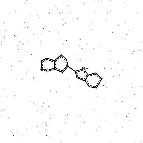 [c]1c(-c2cc3ccccc3[nH]2)ccc2ccccc12